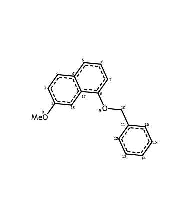 COc1ccc2cccc(OCc3ccccc3)c2c1